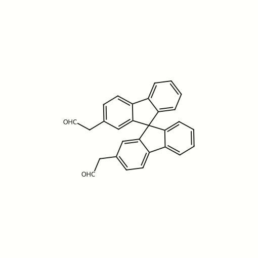 O=CCc1ccc2c(c1)C1(c3ccccc3-2)c2ccccc2-c2ccc(CC=O)cc21